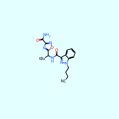 CC(C)(C)C(NC(=O)c1nn(CCCC#N)c2ccccc12)c1nc(C(N)=O)no1